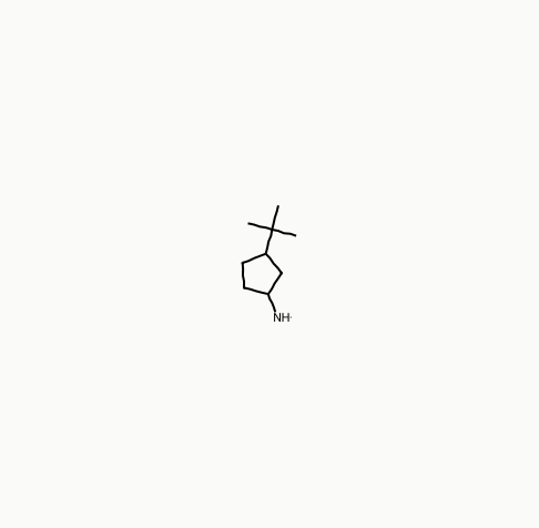 CC(C)(C)C1CCC([NH])C1